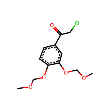 COCOc1ccc(C(=O)CCl)cc1OCOC